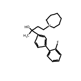 CC(O)(CCN1CCCCCC1)c1ccc(-c2ccccc2F)cc1